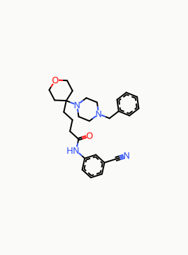 N#Cc1cccc(NC(=O)CCCC2(N3CCN(Cc4ccccc4)CC3)CCOCC2)c1